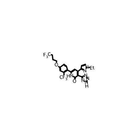 CCn1ccc(-c2cc(-c3ccc(OCCCC(F)(F)F)cc3C(F)(F)F)[nH]c(=O)c2-c2nn[nH]n2)n1